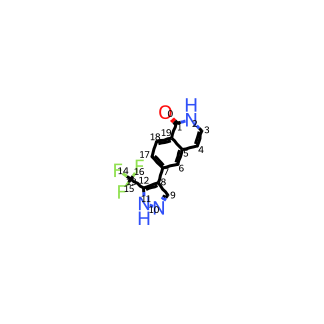 O=c1[nH]ccc2cc(-c3cn[nH]c3C(F)(F)F)ccc12